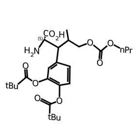 CCCOC(=O)OCC(C)C(c1ccc(OC(=O)C(C)(C)C)c(OC(=O)C(C)(C)C)c1)[C@H](N)C(=O)O